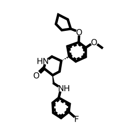 COc1ccc([C@H]2CNC(=O)[C@H](CNc3cccc(F)c3)C2)cc1OC1CCCC1